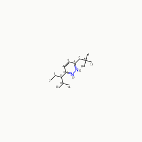 CCC(c1ccc(CC(C)(C)C)nn1)C(C)C